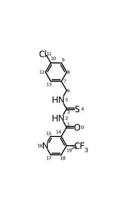 O=C(NC(=S)NCc1ccc(Cl)cc1)c1cnccc1C(F)(F)F